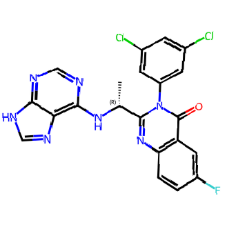 C[C@@H](Nc1ncnc2[nH]cnc12)c1nc2ccc(F)cc2c(=O)n1-c1cc(Cl)cc(Cl)c1